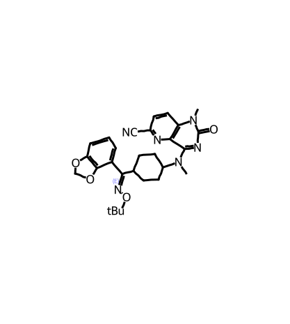 CN(c1nc(=O)n(C)c2ccc(C#N)nc12)C1CCC(/C(=N\OC(C)(C)C)c2cccc3c2OCO3)CC1